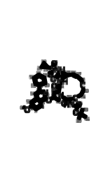 COc1ccc2c(OC3C[C@H]4C(=O)N[C@]5(C(=O)NS(=O)(=O)C6CC6)CC5/C=C\CCCCC[C@H](NC(=O)OC(C)(C)C)C(=O)N4C3)nc(-c3ccccc3)cc2c1